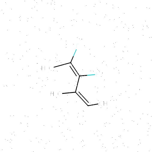 C/C=C(C)\C(F)=C(/C)F